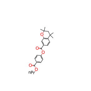 CCCOC(=O)c1ccc(OC(=O)c2ccc3c(c2)OC(C)(C)CC3(C)C)cc1